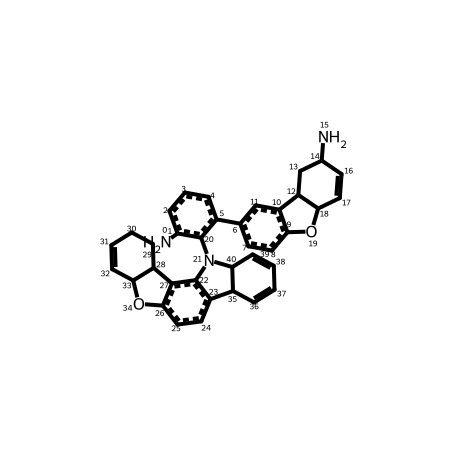 Nc1cccc(-c2ccc3c(c2)C2CC(N)C=CC2O3)c1N1c2c(ccc3c2C2CCC=CC2O3)C2C=CC=CC21